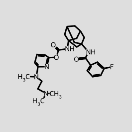 CN(C)CCN(C)c1cccc(OC(=O)NC23CC4CC(C2)CC(NC(=O)c2cccc(F)c2)(C4)C3)n1